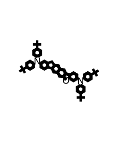 CC(C)(C)c1ccc(N(c2ccc(C(C)(C)C)cc2)c2ccc3c(c2)Cc2cc4cc5c(cc4cc2-3)oc2cc(N(c3ccc(C(C)(C)C)cc3)c3ccc(C(C)(C)C)cc3)ccc25)cc1